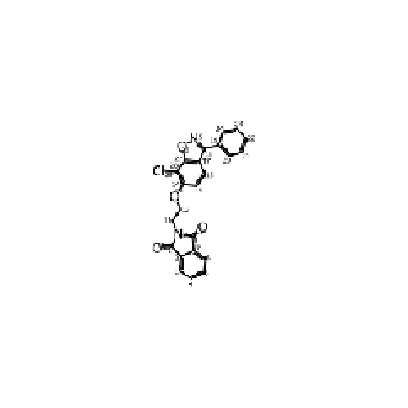 O=C1c2ccccc2C(=O)N1CCOc1ccc2c(-c3ccccc3)noc2c1Cl